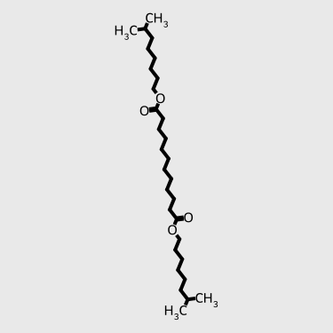 CC(C)CCCCCCOC(=O)CCCCCCCCCCC(=O)OCCCCCCC(C)C